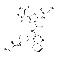 CC(C)(C)OC(=O)Nc1sc(-c2c(F)cccc2F)nc1C(=O)NC1=C(N2CCC[C@H](NC(=O)OC(C)(C)C)C2)C2C=CC=CC2N=C1